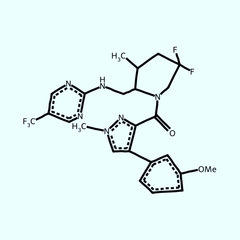 COc1cccc(-c2cn(C)nc2C(=O)N2CC(F)(F)CC(C)C2CNc2ncc(C(F)(F)F)cn2)c1